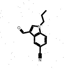 CCCn1cc(C=O)c2cc(C#N)ccc21